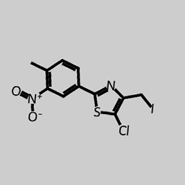 Cc1ccc(-c2nc(CI)c(Cl)s2)cc1[N+](=O)[O-]